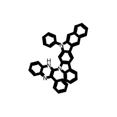 C1=CC2=NC(c3ccccc3)=C(n3c4ccccc4c4cc5c6cc7ccccc7cc6n(-c6ccccc6)c5cc43)NC2C=C1